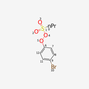 CCCS(=O)(=O)OOc1ccc(Br)cc1